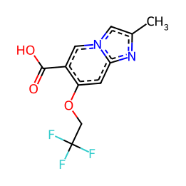 Cc1cn2cc(C(=O)O)c(OCC(F)(F)F)cc2n1